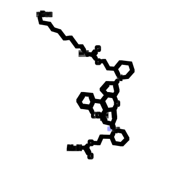 CCCCCCCCCCCCCCCCCCNC(=O)OCCC1CCCCN1c1ccc2c(-c3ccccc3C(=O)O)c3cc/c(=[N+]4/CCCCC4CCOC(=O)NC)cc-3oc2c1